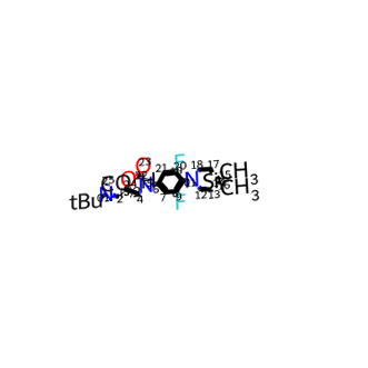 CC(C)(C)N(C[C@H]1CN(c2cc(F)c(N3CC[Si](C)(C)CC3)c(F)c2)C(=O)O1)C(=O)O